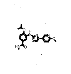 CNC(=O)c1ccc(OC(C)C)c(Nc2nc(-c3ccc(OC)nc3)cs2)c1